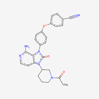 C=CC(=O)N1CCCC(n2c(=O)n(-c3ccc(Oc4ccc(C#N)cc4)cc3)c3c(N)nccc32)C1